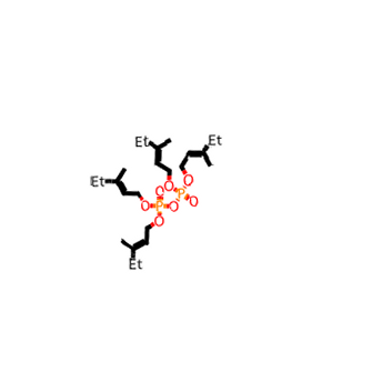 CC/C(C)=C/COP(=O)(OC/C=C(\C)CC)OP(=O)(OC/C=C(\C)CC)OC/C=C(\C)CC